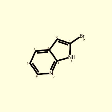 Brc1cc2cccnc2[nH]1